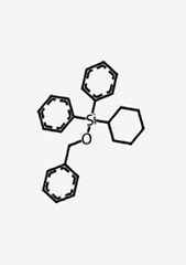 c1ccc(CO[Si](c2ccccc2)(c2ccccc2)C2CCCCC2)cc1